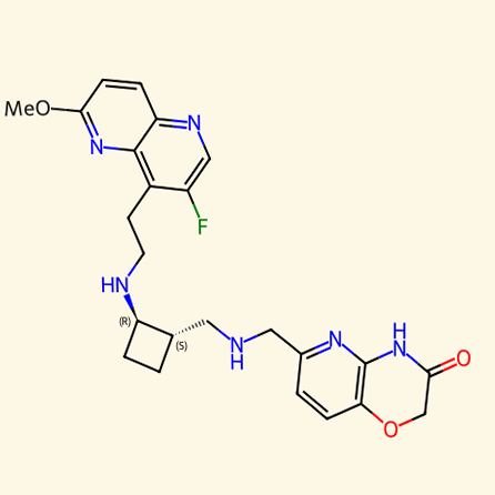 COc1ccc2ncc(F)c(CCN[C@@H]3CC[C@H]3CNCc3ccc4c(n3)NC(=O)CO4)c2n1